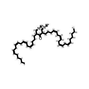 CCCCC/C=C\C/C=C\C/C=C\C/C=C\CCCC(C=[N+]=[N-])C(=O)C(C=[N+]=[N-])CCC/C=C\C/C=C\C/C=C\C/C=C\CCCCC